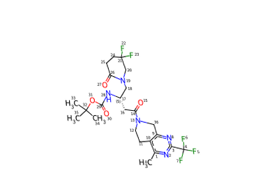 Cc1nc(C(F)(F)F)nc2c1CCN(C(=O)C[C@@H](CN1CC(F)(F)CCC1=O)NC(=O)OC(C)(C)C)C2